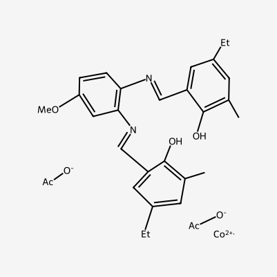 CC(=O)[O-].CC(=O)[O-].CCc1cc(C)c(O)c(C=Nc2ccc(OC)cc2N=Cc2cc(CC)cc(C)c2O)c1.[Co+2]